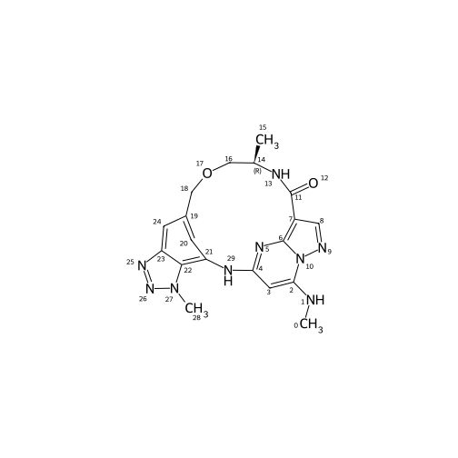 CNc1cc2nc3c(cnn13)C(=O)N[C@H](C)COCc1cc(c3c(c1)nnn3C)N2